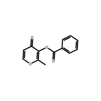 Cc1occc(=O)c1OC(=O)c1ccccc1